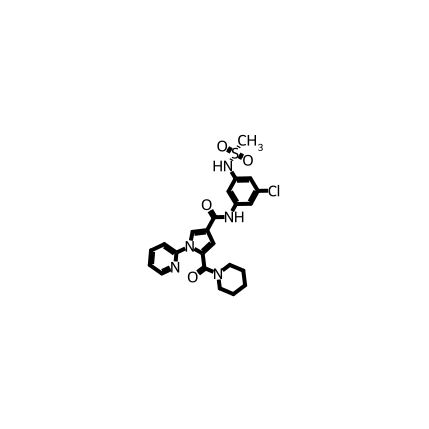 CS(=O)(=O)Nc1cc(Cl)cc(NC(=O)c2cc(C(=O)N3CCCCC3)n(-c3ccccn3)c2)c1